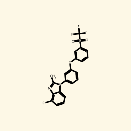 Cc1nc2c(Cl)cccc2n1-c1cccc(Oc2cccc(S(=O)(=O)C(F)(F)F)c2)c1